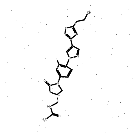 CC(=O)NC[C@H]1CN(c2ccc(-n3cc(-c4noc(CCO)n4)cn3)c(F)c2)C(=O)O1